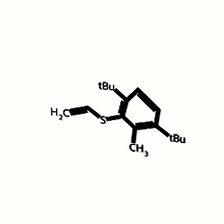 C=CSc1c(C(C)(C)C)ccc(C(C)(C)C)c1C